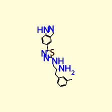 Cc1cccc(C[C@@H](N)CNc2nnc(-c3ccc4[nH]ncc4c3)s2)c1